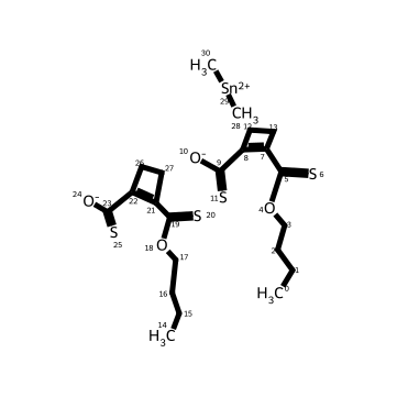 CCCCOC(=S)C1=C(C([O-])=S)CC1.CCCCOC(=S)C1=C(C([O-])=S)CC1.[CH3][Sn+2][CH3]